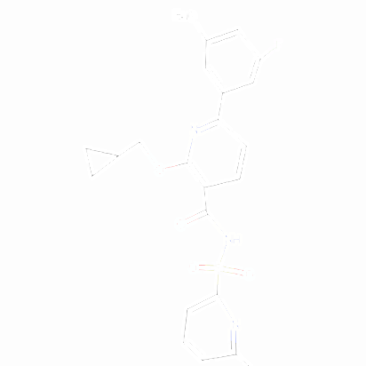 Cc1cccc(S(=O)(=O)NC(=O)c2ccc(-c3cc(F)cc(OCC(C)C)c3)nc2OCC2CC2)n1